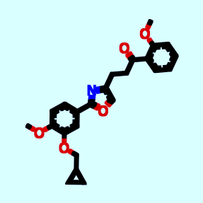 COc1ccc(-c2nc(CCC(=O)c3ccccc3OC)co2)cc1OCC1CC1